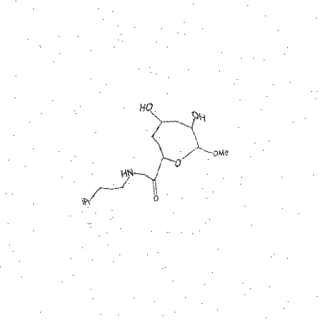 COC1OC(C(=O)NCCC(C)C)CC(O)C1O